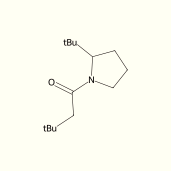 CC(C)(C)CC(=O)N1CCCC1C(C)(C)C